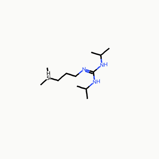 CC(C)NC(=NCCC[SiH](C)C)NC(C)C